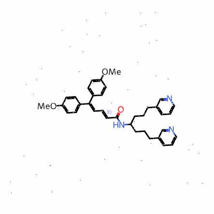 COc1ccc(C(=C/C=C/C(=O)NC(CCCc2cccnc2)CCCc2cccnc2)c2ccc(OC)cc2)cc1